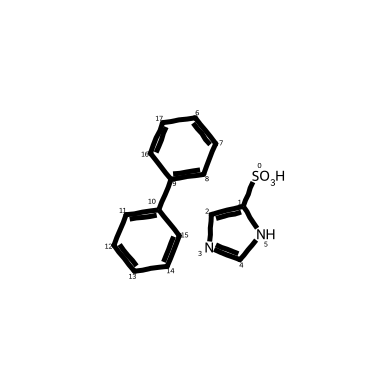 O=S(=O)(O)c1cnc[nH]1.c1ccc(-c2ccccc2)cc1